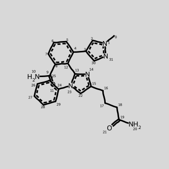 Cn1cc(-c2cccc(C(N)=O)c2-c2nc(CCCC(N)=O)cn2-c2ccccc2)cn1